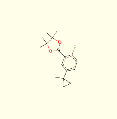 CC1(c2ccc(F)c(B3OC(C)(C)C(C)(C)O3)c2)CC1